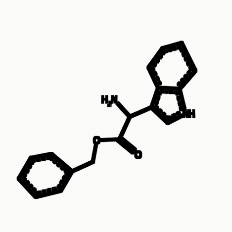 NC(C(=O)OCc1ccccc1)c1c[nH]c2ccccc12